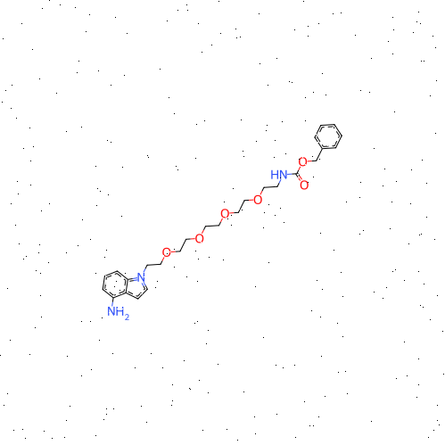 Nc1cccc2c1ccn2CCOCCOCCOCCOCCNC(=O)OCc1ccccc1